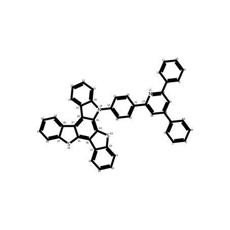 c1ccc(-c2cc(-c3ccccc3)nc(-c3ccc(-n4c5ccccc5c5c6c7ccccc7sc6c6c7ccccc7sc6c54)cc3)c2)cc1